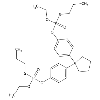 CCCSP(=O)(OCC)Oc1ccc(C2(c3ccc(OP(=O)(OCC)SCCC)cc3)CCCC2)cc1